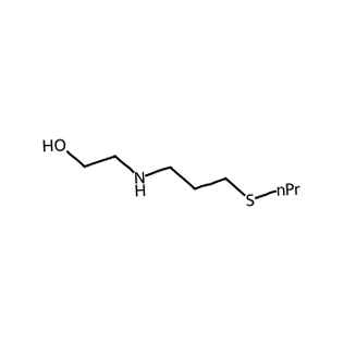 CCCSCCCNCCO